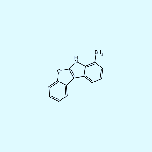 Bc1cccc2c1[nH]c1oc3ccccc3c12